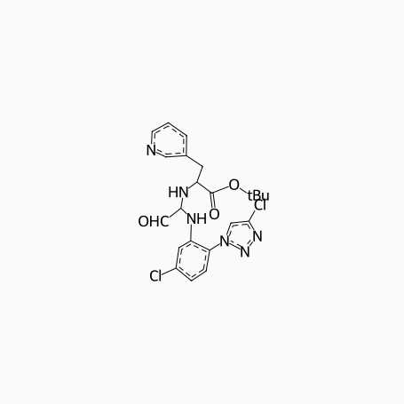 CC(C)(C)OC(=O)C(Cc1cccnc1)NC(C=O)Nc1cc(Cl)ccc1-n1cc(Cl)nn1